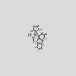 C=CC1c2ccccc2-c2cccc([SiH2]C3=CC=CC3)c21